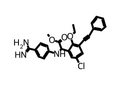 CCOc1c(C#Cc2ccccc2)cc(Cl)cc1C(Nc1ccc(C(=N)N)cc1)C(=O)OC